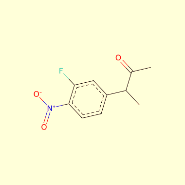 CC(=O)C(C)c1ccc([N+](=O)[O-])c(F)c1